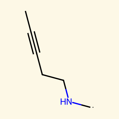 [CH2]NCCC#CC